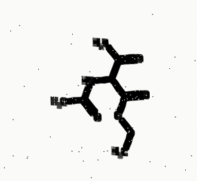 BC(=O)C(NC(C)=O)C(=O)OCC